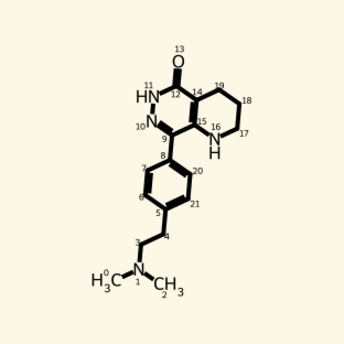 CN(C)CCc1ccc(-c2n[nH]c(=O)c3c2NCCC3)cc1